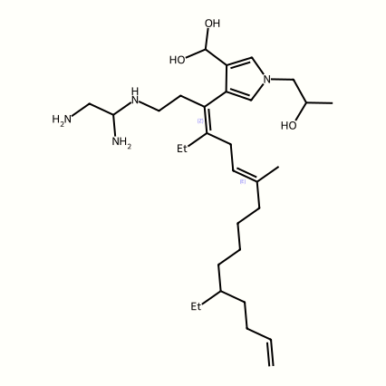 C=CCCC(CC)CCCC/C(C)=C/C/C(CC)=C(/CCNC(N)CN)c1cn(CC(C)O)cc1C(O)O